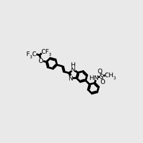 CS(=O)(=O)Nc1ccccc1-c1ccc2[nH]c(C=Cc3ccc(OC(C(F)(F)F)C(F)(F)F)cc3)nc2c1